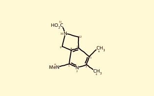 CNc1nc(C)c(C)c2c1CN(C(=O)O)C2